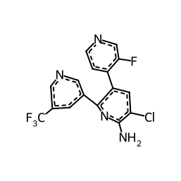 Nc1nc(-c2cncc(C(F)(F)F)c2)c(-c2ccncc2F)cc1Cl